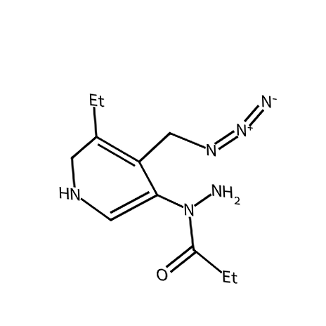 CCC(=O)N(N)C1=CNCC(CC)=C1CN=[N+]=[N-]